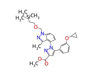 COC(=O)c1cc(-c2cccc(OC3CC3)c2)n(-c2cccc3c2c(C)nn3COCC[Si](C)(C)C)n1